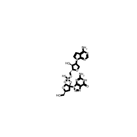 Nc1nc2c(nnn2[C@@]2(OP(=O)(S)OC[C@H]3OCC(n4ccc5c(N)ncnc54)[C@@H]3O)CO[C@H](CO)C2)c(=O)[nH]1